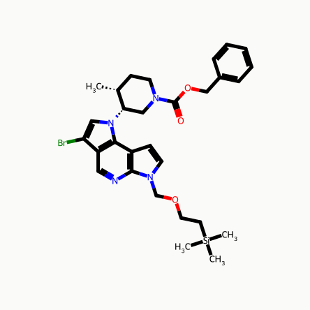 C[C@@H]1CCN(C(=O)OCc2ccccc2)C[C@@H]1n1cc(Br)c2cnc3c(ccn3COCC[Si](C)(C)C)c21